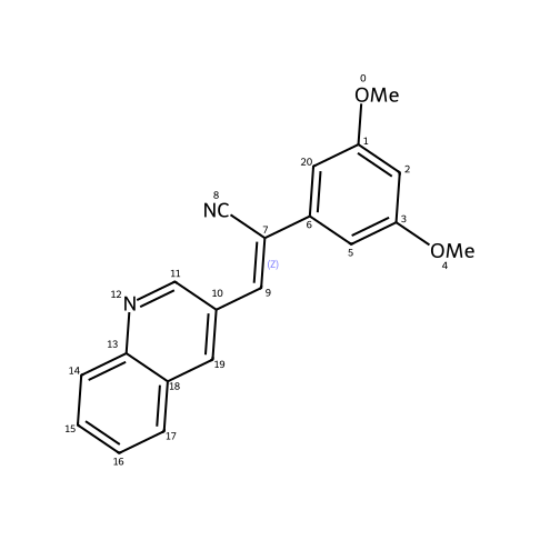 COc1cc(OC)cc(/C(C#N)=C/c2cnc3ccccc3c2)c1